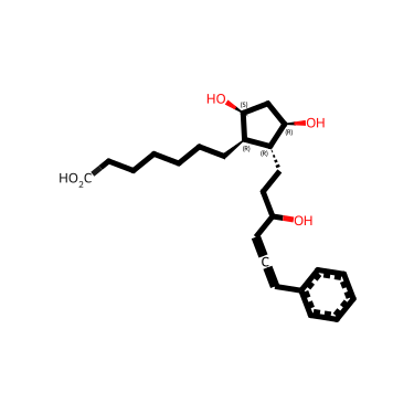 O=C(O)CCCCCC[C@@H]1[C@@H](CCC(O)C=C=Cc2ccccc2)[C@H](O)C[C@@H]1O